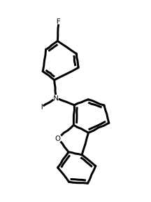 Fc1ccc(N(I)c2cccc3c2oc2ccccc23)cc1